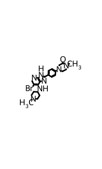 CN1CCC(Nc2c(Br)cnc3[nH]c(-c4ccc(N5CCN(C)C(=O)C5)cc4)nc23)CC1